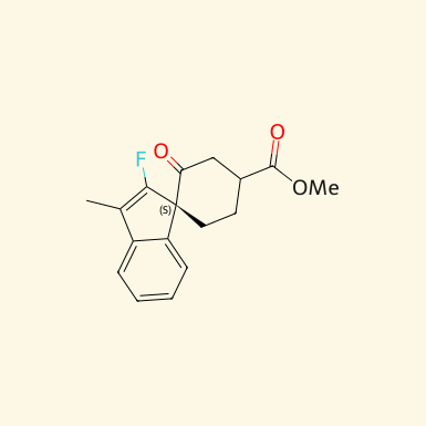 COC(=O)C1CC[C@]2(C(=O)C1)C(F)=C(C)c1ccccc12